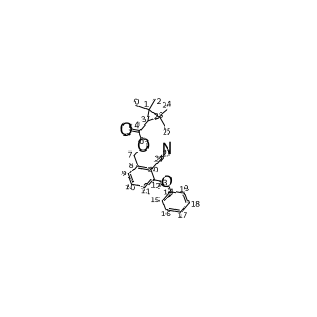 CC1(C)C(C(=O)OCc2cccc(Oc3ccccc3)c2C#N)C1(C)C